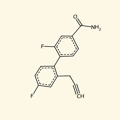 C#CCc1cc(F)ccc1-c1ccc(C(N)=O)cc1F